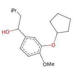 COc1ccc(C(O)CC(C)C)cc1OC1CCCC1